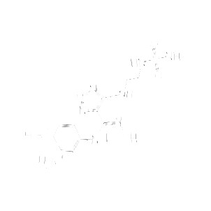 B[C@@H]1C=CC(N/C(=N\O)c2nonc2NCCNS(N)(=O)=O)=C[C@@H]1B